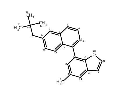 Cc1cc(-c2nccc3cc(CC(C)(C)C)ccc23)c2occc2c1